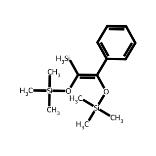 C[Si](C)(C)OC([SiH3])=C(O[Si](C)(C)C)c1ccccc1